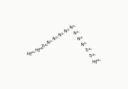 [Hf+4].[Hf+4].[Hf+4].[N-3].[N-3].[N-3].[N-3].[N-3].[N-3].[N-3].[N-3].[Ti+4].[Ti+4].[Ti+4]